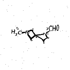 CN1CC2(CCN2C=O)C1